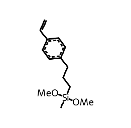 C=Cc1ccc(CCC[Si](C)(OC)OC)cc1